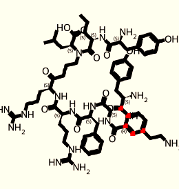 CC[C@H](C)[C@H](NC(=O)[C@@H](N)Cc1ccc(O)cc1)C(=O)N(CCCC(=O)[C@H](CCCNC(=N)N)NC(=O)[C@H](CCCNC(=N)N)NC(=O)[C@H](Cc1ccccc1)NC(=O)[C@H](Cc1ccccc1)NC(=O)[C@@H](CCCCN)NC(=O)[C@@H](N)Cc1ccc(O)cc1)[C@@H](CC(C)C)C(=O)O